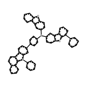 c1ccc(-c2cccc3c2sc2ccc(N(c4ccc(-c5ccc6c7ccc8ccccc8c7n(-c7ccccc7)c6c5)cc4)c4ccc5oc6ccccc6c5c4)cc23)cc1